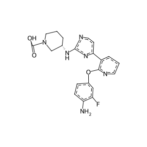 Nc1ccc(Oc2ncccc2-c2ccnc(N[C@H]3CCCN(C(=O)O)C3)n2)cc1F